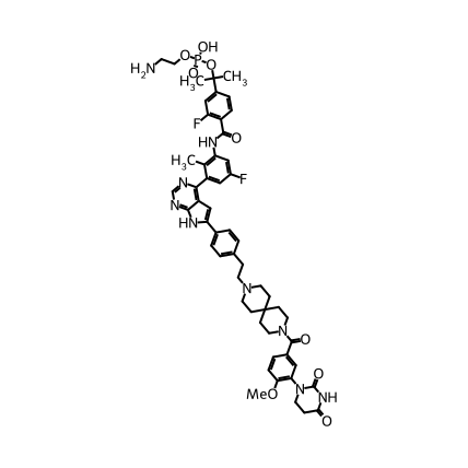 COc1ccc(C(=O)N2CCC3(CCN(CCc4ccc(-c5cc6c(-c7cc(F)cc(NC(=O)c8ccc(C(C)(C)OP(=O)(O)OCCN)cc8F)c7C)ncnc6[nH]5)cc4)CC3)CC2)cc1N1CCC(=O)NC1=O